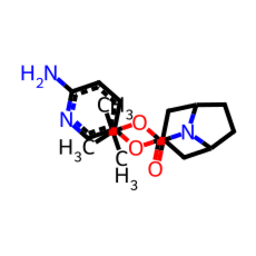 CC(C)(C)OC(=O)N1C2CCC1CC(Oc1ccc(N)nc1)C2